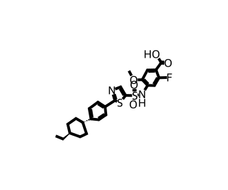 CC[C@H]1CC[C@H](c2ccc(-c3ncc(S(=O)(=O)Nc4cc(F)c(C(=O)O)cc4OC)s3)cc2)CC1